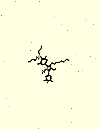 CCCCCCCCC1=C(c2cc(C)c(C)c(C)c2)[N+](=[N-])C(c2cc(C)c(C)c(C)c2)=C1CC.CCC[CH2][Ni][CH2]CCC